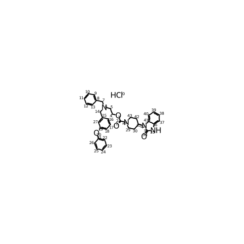 Cl.O=C(OCCN(Cc1ccccc1)Cc1cccc(Oc2ccccc2)c1)N1CCC(n2c(=O)[nH]c3ccccc32)CC1